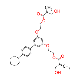 C=C(CO)C(=O)OCCOc1cc(OCCOC(=O)C(=C)CO)cc(-c2ccc(C3CCCCC3)cc2)c1